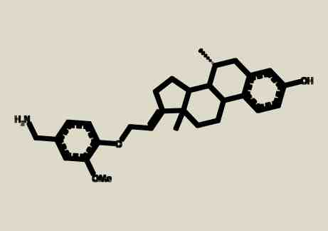 COc1cc(CN)ccc1OC/C=C1\CCC2C3C(CCC12C)c1ccc(O)cc1C[C@H]3C